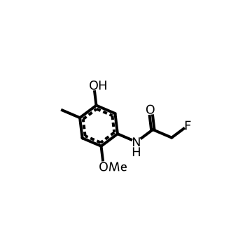 COc1cc(C)c(O)cc1NC(=O)CF